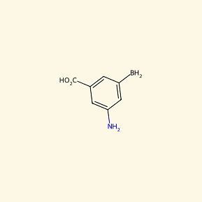 Bc1cc(N)cc(C(=O)O)c1